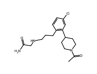 CC(=O)N1CCC(c2cc(Cl)ccc2CCCNCC(N)=O)CC1